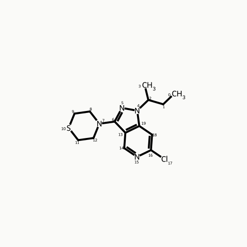 CCC(C)n1nc(N2CCSCC2)c2cnc(Cl)cc21